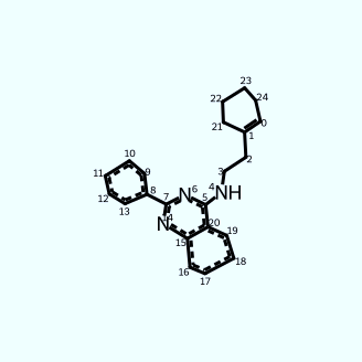 C1=C(CCNc2nc(-c3ccccc3)nc3ccccc23)CCCC1